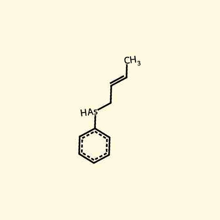 CC=CC[AsH]c1ccccc1